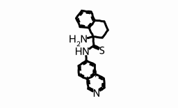 NC1(C(=S)Nc2ccc3cnccc3c2)CCCc2ccccc21